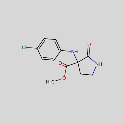 COC(=O)C1(Nc2ccc(Cl)cc2)CCNC1=O